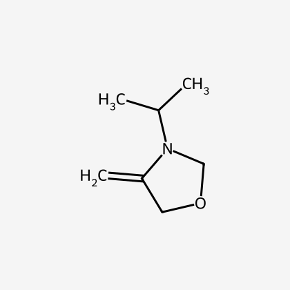 C=C1COCN1C(C)C